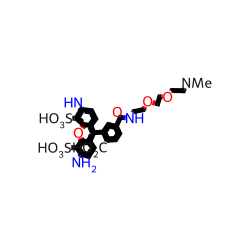 CNCCOCCOCCNC(=O)c1ccc(C(=O)O)c(-c2c3ccc(=N)c(S(=O)(=O)O)c-3oc3c(S(=O)(=O)O)c(N)ccc23)c1